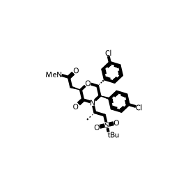 CNC(=O)C[C@H]1O[C@H](c2cccc(Cl)c2)[C@@H](c2ccc(Cl)cc2)N([C@@H](C)CS(=O)(=O)C(C)(C)C)C1=O